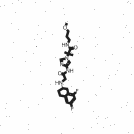 COCCCNC(=O)C(C)(C)n1cnc(NC(=O)CN[C@H]2CCc3cc(F)cc(F)c3C2)c1